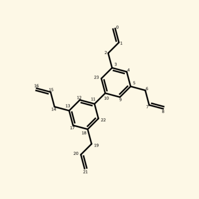 C=CCc1cc(CC=C)cc(-c2cc(CC=C)cc(CC=C)c2)c1